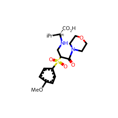 COc1ccc(S(=O)(=O)C(CN[C@@H](C(=O)O)C(C)C)C(=O)N2CCOCC2)cc1